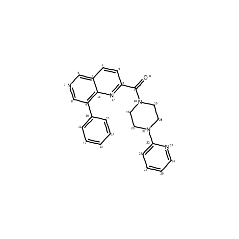 O=C(c1ccc2cncc(-c3ccccc3)c2n1)N1CCN(c2ccccn2)CC1